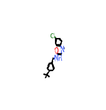 CN(CC(=O)NCc1ccc(C(C)(C)C)cc1)c1ccc(Cl)cc1